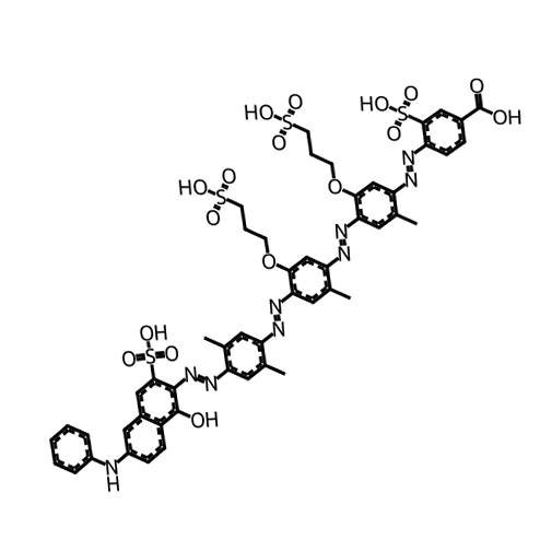 Cc1cc(N=Nc2c(S(=O)(=O)O)cc3cc(Nc4ccccc4)ccc3c2O)c(C)cc1N=Nc1cc(C)c(N=Nc2cc(C)c(N=Nc3ccc(C(=O)O)cc3S(=O)(=O)O)cc2OCCCS(=O)(=O)O)cc1OCCCS(=O)(=O)O